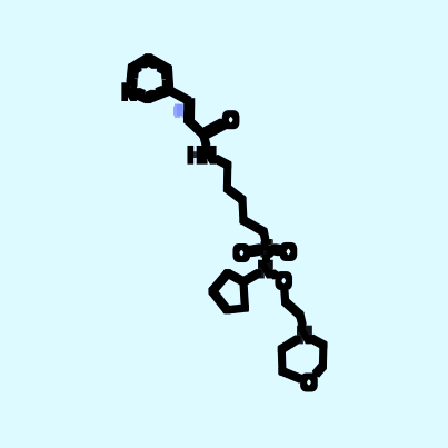 O=C(/C=C/c1cccnc1)NCCCCCS(=O)(=O)N(OCCN1CCOCC1)C1CCCC1